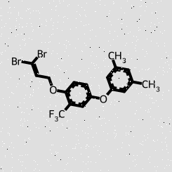 Cc1cc(C)cc(Oc2ccc(OCC=C(Br)Br)c(C(F)(F)F)c2)c1